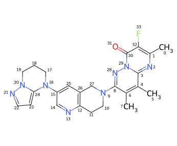 Cc1nc2c(C)c(C)c(N3CCc4ncc(N5CCCn6nccc65)cc4C3)nn2c(=O)c1F